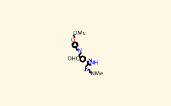 CNCCN(C)Cc1c[nH]nc1[C@H]1CC[C@](C=O)(CCN(C)Cc2ccc(OCCOC)cc2)CC1